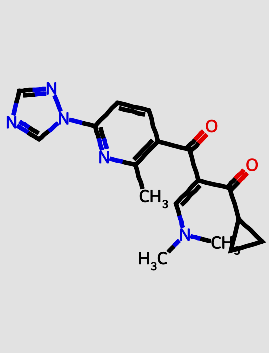 Cc1nc(-n2cncn2)ccc1C(=O)C(=CN(C)C)C(=O)C1CC1